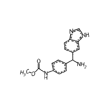 COC(=O)Nc1ccc(C(N)c2ccc3nc[nH]c3c2)cc1